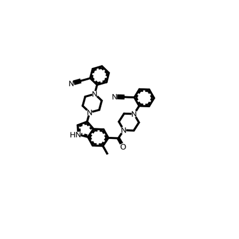 Cc1cc2[nH]cc(N3CCN(c4ccccc4C#N)CC3)c2cc1C(=O)N1CCN(c2ccccc2C#N)CC1